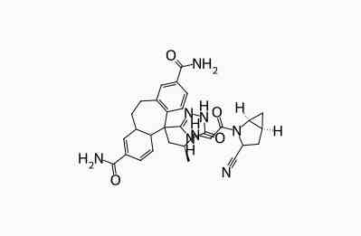 C[C@@H](CC1(c2n[nH]c(=O)[nH]2)c2ccc(C(N)=O)cc2CCC2C=C(C(N)=O)C=CC21)NCC(=O)N1C(C#N)C[C@@H]2C[C@@H]21